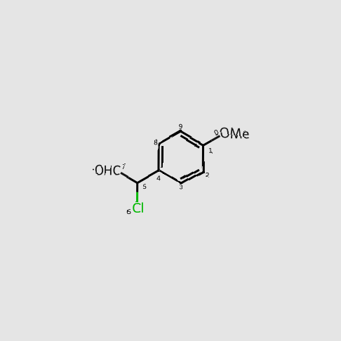 COc1ccc(C(Cl)[C]=O)cc1